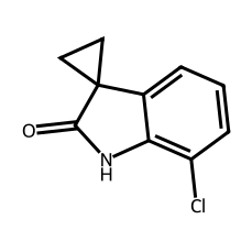 O=C1Nc2c(Cl)cccc2C12CC2